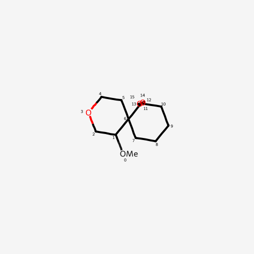 COC1COCCC12CCCCC21OCCO1